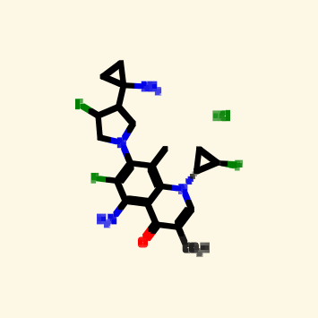 Cc1c(N2CC(F)C(C3(N)CC3)C2)c(F)c(N)c2c(=O)c(C(=O)O)cn([C@@H]3C[C@H]3F)c12.Cl